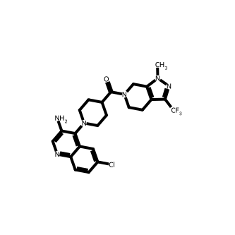 Cn1nc(C(F)(F)F)c2c1CN(C(=O)C1CCN(c3c(N)cnc4ccc(Cl)cc34)CC1)CC2